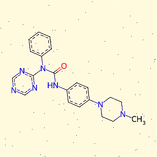 CN1CCN(c2ccc(NC(=O)N(c3ccccc3)c3ncncn3)cc2)CC1